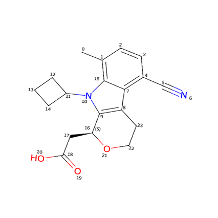 Cc1ccc(C#N)c2c3c(n(C4CCC4)c12)[C@H](CC(=O)O)OCC3